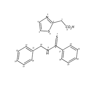 O=C(O)Cc1nccs1.S=C(NCc1ccccc1)c1ccccc1